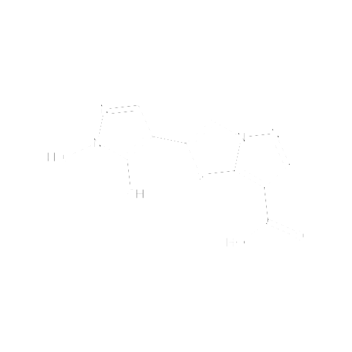 Cc1c(-c2cn3ncc(C(=O)O)c3s2)cnn1C